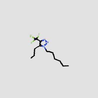 CCCCCCn1nnc(C(F)(F)F)c1CCC